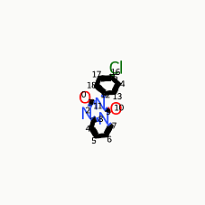 O=c1nc2ccccn2c(=O)n1-c1ccc(Cl)cc1